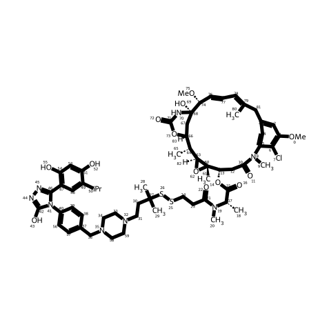 COc1cc2cc(c1Cl)N(C)C(=O)C[C@H](OC(=O)[C@H](C)N(C)C(=O)CCSSC(C)(C)CCN1CCN(Cc3ccc(-n4c(O)nnc4-c4cc(C(C)C)c(O)cc4O)cc3)CC1)[C@]1(C)O[C@H]1[C@H](C)[C@@H]1C[C@@](O)(NC(=O)O1)[C@H](OC)/C=C/C=C(\C)C2